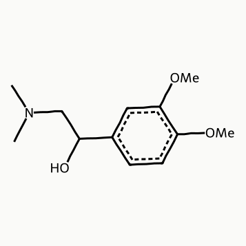 COc1ccc(C(O)CN(C)C)cc1OC